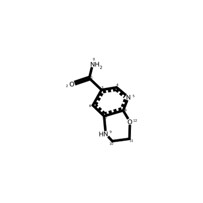 NC(=O)c1cnc2c(c1)NCCO2